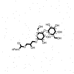 CCCCCC(CC)OCC(O)CO[C@@H]1O[C@H](CO)[C@@H](O[C@H]2O[C@H](CO)[C@@H](O)[C@H](O)[C@H]2O)[C@H](O)[C@H]1O